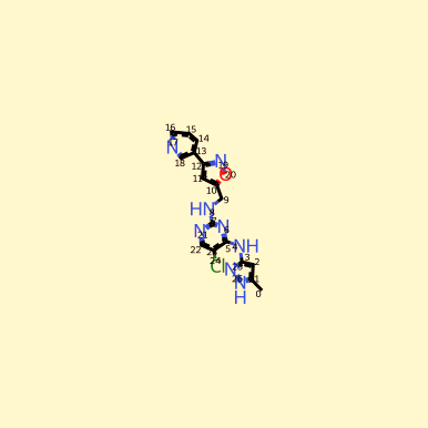 Cc1cc(Nc2nc(NCc3cc(-c4cccnc4)no3)ncc2Cl)n[nH]1